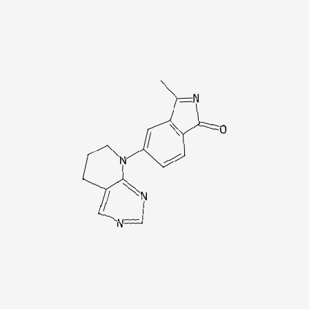 CC1=NC(=O)c2ccc(N3CCCc4cncnc43)cc21